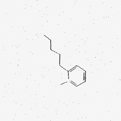 CCCCCCCCCCCCCCc1cccc[n+]1CCCCCCC